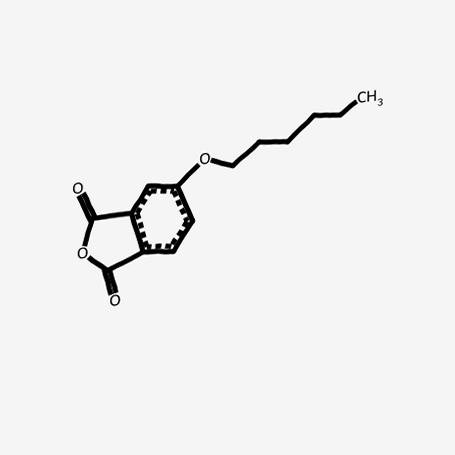 CCCCCCOc1ccc2c(c1)C(=O)OC2=O